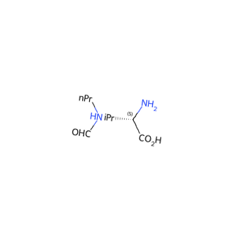 CC(C)[C@H](N)C(=O)O.CCCNC=O